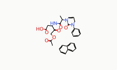 CC(=O)OCC(=O)C(CC(=O)O)NC(=O)C(C)N1C=CCN(c2ccccc2)C1=O.c1ccc2ccccc2c1